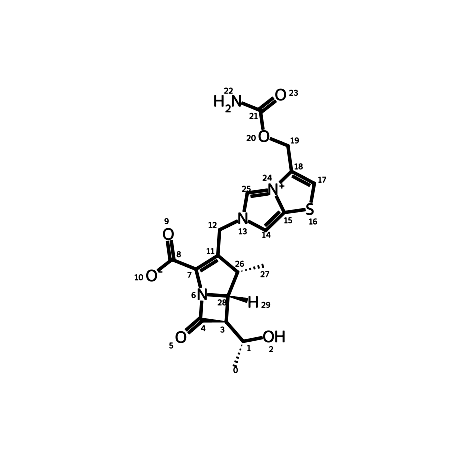 C[C@@H](O)[C@H]1C(=O)N2C(C(=O)[O-])=C(Cn3cc4scc(COC(N)=O)[n+]4c3)[C@H](C)[C@H]12